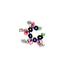 CC(C)(C)OC(=O)N(c1ccc(Br)cc1)c1ccc(N(C(=O)OC(C)(C)C)c2ccc(N(C(=O)OC(C)(C)C)c3ccc(N(C(=O)OC(C)(C)C)c4ccc(Br)cc4)cc3)cc2)cc1